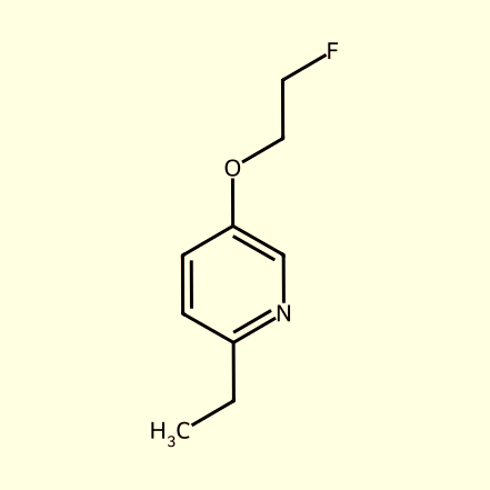 CCc1ccc(OCCF)cn1